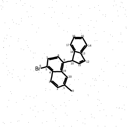 Cc1ccc2c(Br)ccc(C3C=Cc4ccccc43)c2c1